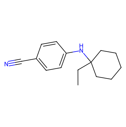 CCC1(Nc2ccc(C#N)cc2)CCCCC1